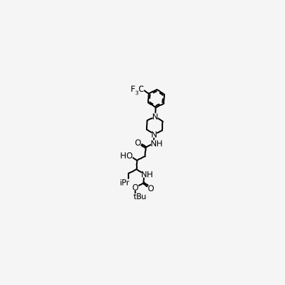 CC(C)CC(NC(=O)OC(C)(C)C)C(O)CC(=O)NN1CCN(c2cccc(C(F)(F)F)c2)CC1